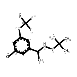 CC(NSC(C)(C)C)c1cc(Cl)cc(OC(F)(F)F)c1